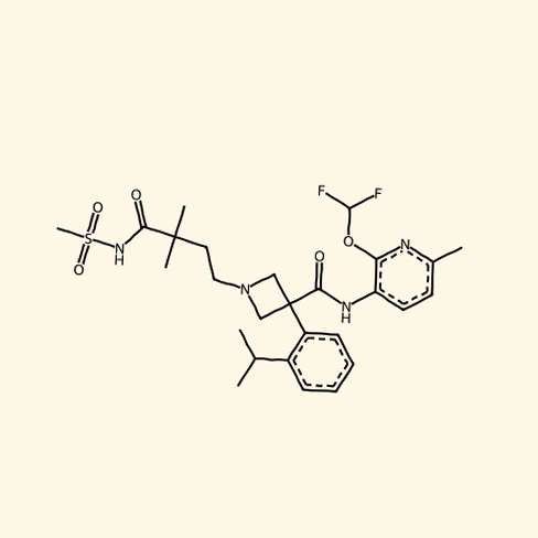 Cc1ccc(NC(=O)C2(c3ccccc3C(C)C)CN(CCC(C)(C)C(=O)NS(C)(=O)=O)C2)c(OC(F)F)n1